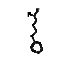 FC(F)CCC[CH]c1ccccc1